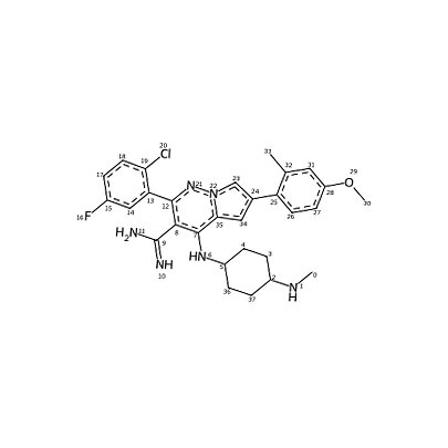 CNC1CCC(Nc2c(C(=N)N)c(-c3cc(F)ccc3Cl)nn3cc(-c4ccc(OC)cc4C)cc23)CC1